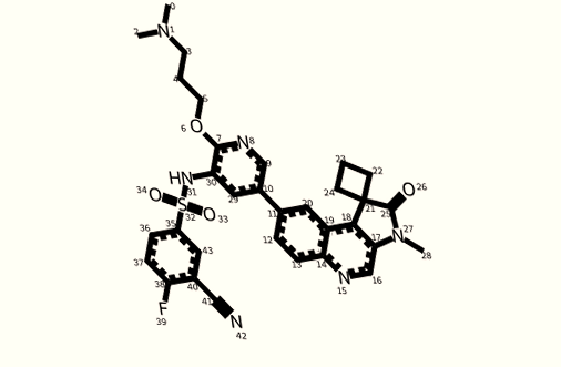 CN(C)CCCOc1ncc(-c2ccc3ncc4c(c3c2)C2(CCC2)C(=O)N4C)cc1NS(=O)(=O)c1ccc(F)c(C#N)c1